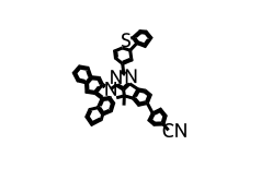 CC1(C)c2cc(-c3ccc(C#N)cc3)ccc2-c2nc(C3=CC4c5ccccc5SC4C=C3)nc(-n3c4cc5ccccc5cc4c4c5c(ccc43)C=C=C=C5)c21